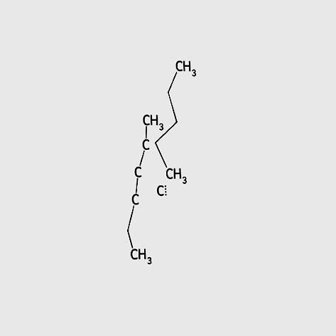 CCCCC.CCCCCC.[C]